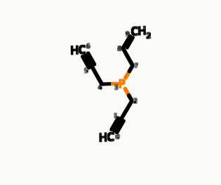 C#CCP(CC#C)CC=C